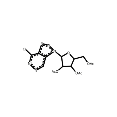 CC(=O)OCC1OC(n2nnc3c(Cl)nncc32)C(OC(C)=O)C1OC(C)=O